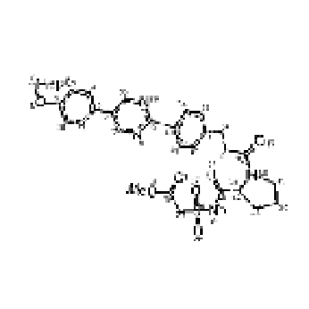 CCCCCCCOc1ccc(-c2cnc(-c3ccc(CCC(=O)N4CCC[C@H]4C(=O)NS(=O)(=O)CC(=O)OC)cc3)nc2)cc1